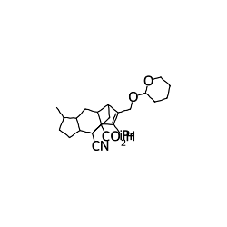 CC(C)C1=C(COC2CCCCO2)C2CC3(C#N)C4CCC(C)C4CC2C13C(=O)O